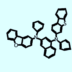 c1ccc(N(c2cc(N(c3ccccc3)c3ccc4c(c3)sc3ccccc34)c3ccccc3c2)c2ccc3oc4ccccc4c3c2)cc1